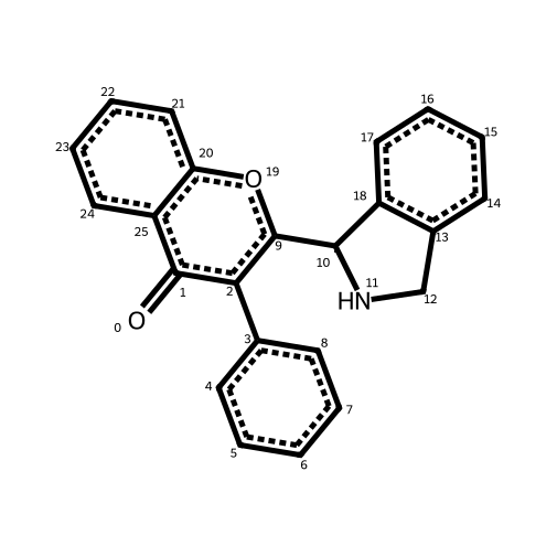 O=c1c(-c2ccccc2)c([C]2NCc3ccccc32)oc2ccccc12